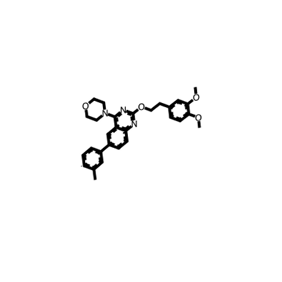 COc1ccc(CCOc2nc(N3CCOCC3)c3cc(-c4cc[c]c(C)c4)ccc3n2)cc1OC